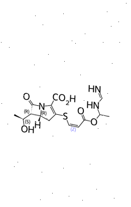 CC(NC=N)OC(=O)/C=C\SC1=C(C(=O)O)N2C(=O)[C@@H]([C@H](C)O)[C@H]2C1